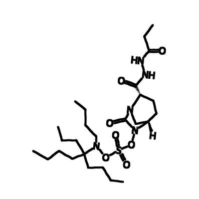 CCCCN(OS(=O)(=O)ON1C(=O)N2C[C@@H]1CC[C@H]2C(=O)NNC(=O)CC)C(CCC)(CCCC)CCCC